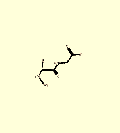 CC(C)N[C@H](C(=O)NCC(=O)C(C)C)C(C)C